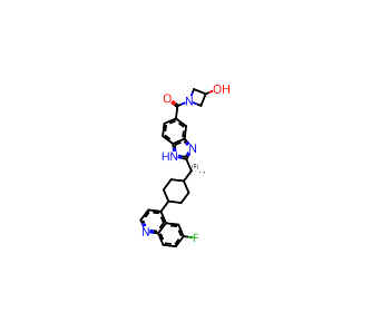 C[C@@H](c1nc2cc(C(=O)N3CC(O)C3)ccc2[nH]1)C1CCC(c2ccnc3ccc(F)cc23)CC1